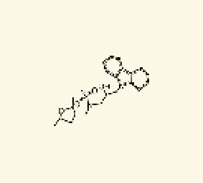 CC1CC(CN(CC(O)Cn2c3ccccc3c3ccccc32)S(C)(=O)=O)C(C)O1